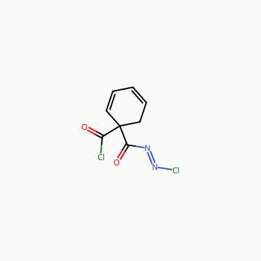 O=C(Cl)C1(C(=O)N=NCl)C=CC=CC1